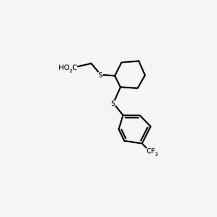 O=C(O)CSC1CCCCC1Sc1ccc(C(F)(F)F)cc1